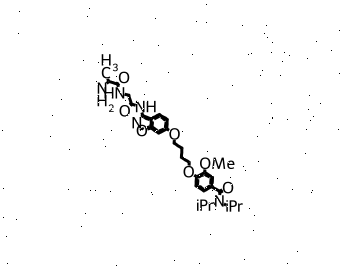 COc1cc(C(=O)N(C(C)C)C(C)C)ccc1OCCCCOc1ccc2c(NC(=O)CNC(=O)C(C)N)noc2c1